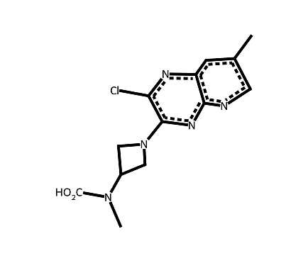 Cc1cnc2nc(N3CC(N(C)C(=O)O)C3)c(Cl)nc2c1